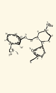 CCCCN1CCC(c2ccc(C)o2)C(COc2cccc(C(F)(F)F)c2)C1